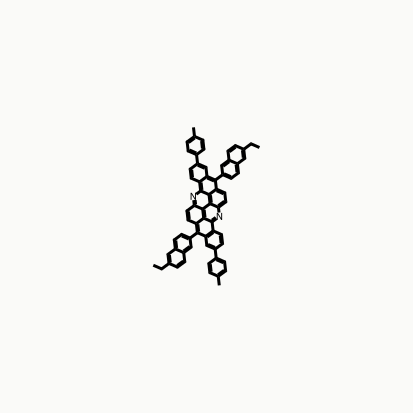 CCc1ccc2cc(-c3c4cc(-c5ccc(C)cc5)ccc4c4nc5ccc6c(-c7ccc8cc(CC)ccc8c7)c7cc(-c8ccc(C)cc8)ccc7c7nc8ccc3c4c8c5c67)ccc2c1